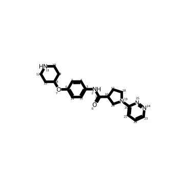 O=C(Nc1ccc(OC2CCNCC2)cc1)C1CCN(c2cccnn2)C1